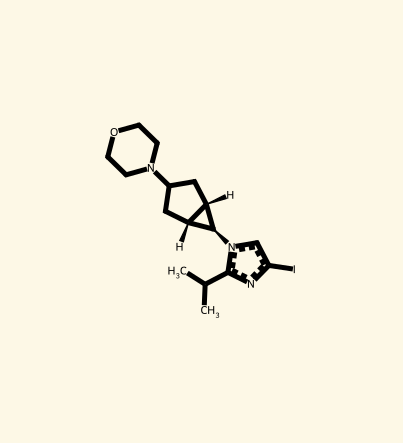 CC(C)c1nc(I)cn1[C@H]1[C@@H]2CC(N3CCOCC3)C[C@@H]21